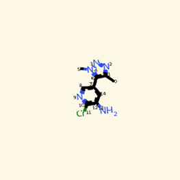 Cc1nnn(C)c1-c1cnc(Cl)c(N)c1